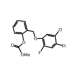 CCc1cc(F)c(OCc2ccccc2OC(=O)OC)cc1Cl